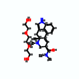 CCN(CC)C(=O)[C@@H]1C=C2c3cccc4[nH]cc(c34)C[C@H]2N(C)C1.OCCOCCOCCO